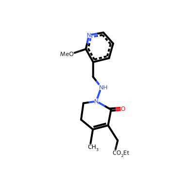 CCOC(=O)CC1=C(C)CCN(NCc2cccnc2OC)C1=O